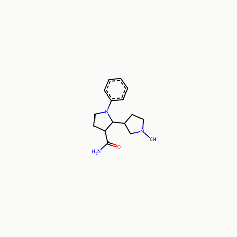 N#CN1CCC(C2C(C(N)=O)CCN2c2ccccc2)C1